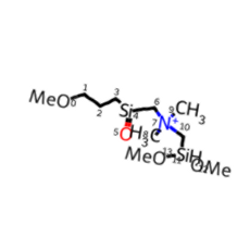 COCCC[Si](=O)C[N+](C)(C)C[SiH](OC)OC